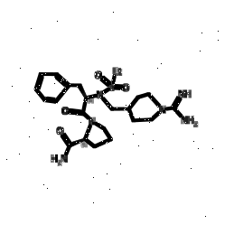 CCS(=O)(=O)N(CC1CCN(C(=N)N)CC1)[C@H](Cc1ccccc1)C(=O)N1CCC[C@H]1C(N)=O